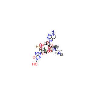 CCN(CC)C(C)CCN(CC)C(C)SP1(=O)OC[C@H]2O[C@@H](n3cnc4c(=O)n(CCO)cnc43)[C@H](OP(=O)(S)OC[C@H]3O[C@@H](n4cc5c6c(ncnc64)NCCC5)[C@H](O[Si](C)(C)C(C)(C)C)[C@@H]3O1)[C@@H]2F